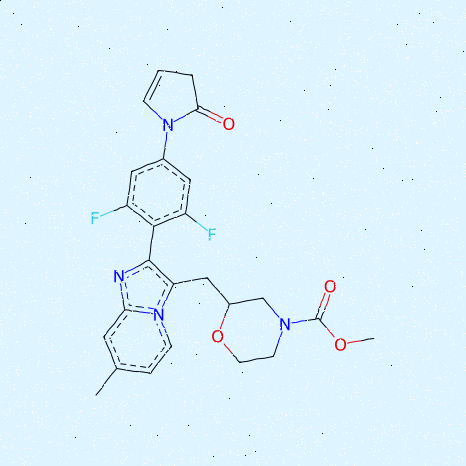 COC(=O)N1CCOC(Cc2c(-c3c(F)cc(N4C=CCC4=O)cc3F)nc3cc(C)ccn23)C1